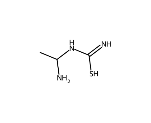 CC(N)NC(=N)S